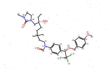 CC[C@@](O)(CCC(C)(C)CCN(C=O)c1ccc([C@@H](OCc2ccc(OC)cc2)C(F)(F)F)cc1)CN1CCN(C)C1=O